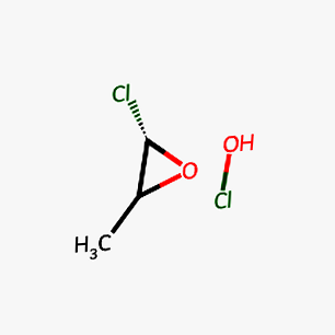 CC1O[C@H]1Cl.OCl